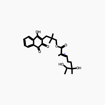 C/C(=C\CCC(C)(O)C(C)O)C(=O)OCC(C)(C)CC1=C(O)c2ccccc2C(=O)C1=O